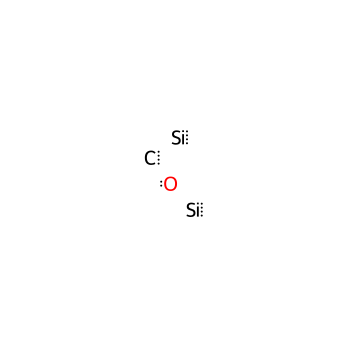 [C].[O].[Si].[Si]